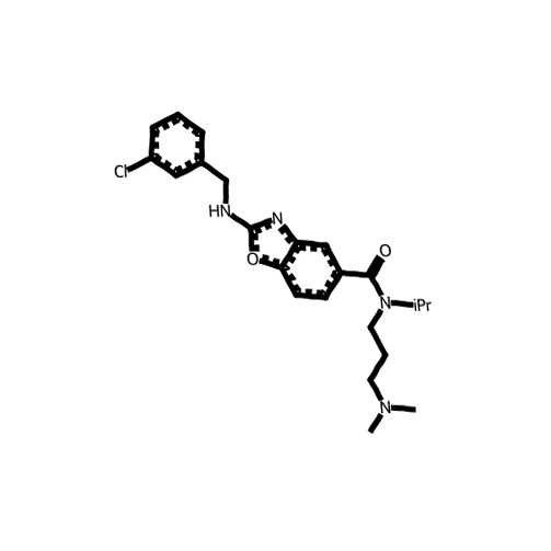 CC(C)N(CCCN(C)C)C(=O)c1ccc2oc(NCc3cccc(Cl)c3)nc2c1